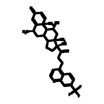 C[C@H]1CC2C([C@@H](O)CC3(C)C2CC[C@]3(O)C(=O)CSc2ccnc3cc(C(F)(F)F)ccc23)C2(C)C=CC(=O)C=C12